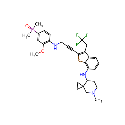 COc1cc(P(C)(C)=O)ccc1NCC#Cc1sc2c(NC3CCN(C)CC34CC4)cccc2c1CC(F)(F)F